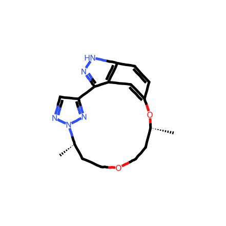 C[C@@H]1CCOCC[C@H](C)n2ncc(n2)-c2n[nH]c3ccc(cc23)O1